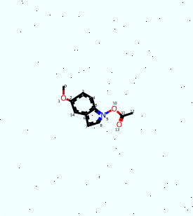 COc1ccc2c(ccn2OC(C)=O)c1